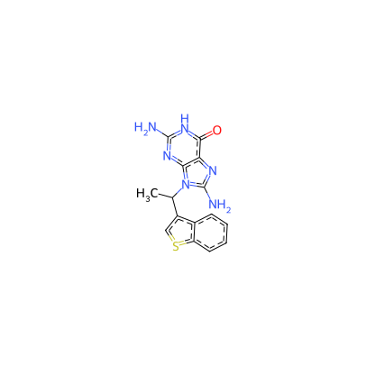 CC(c1csc2ccccc12)n1c(N)nc2c(=O)[nH]c(N)nc21